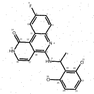 CC(Nc1nc2ccc(F)cc2c2c(=O)[nH]ccc12)c1c(Cl)cccc1Cl